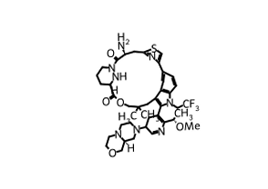 CO[C@@H](C)C1=C(c2c3c4cc(ccc4n2CC(F)(F)F)-c2csc(n2)C[C@H](N)C(=O)N2CCC[C@H](N2)C(=O)OCC(C)(C)C3)CC(N2CCN3CCOC[C@@H]3C2)C=N1